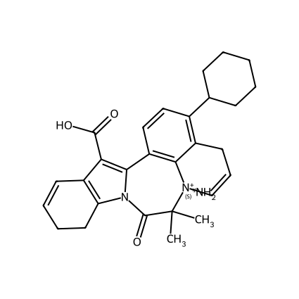 CC1(C)C(=O)n2c3c(c(C(=O)O)c2-c2ccc(C4CCCCC4)c4c2[N@@+]1(N)C=CC4)C=CCC3